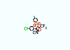 Cc1ccc(S(=O)(=O)C2=C(C(F)(F)F)O[C@@H](C#N)[C@@H]2c2ccc(Cl)cc2)cc1